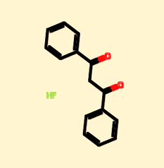 F.O=C(CC(=O)c1ccccc1)c1ccccc1